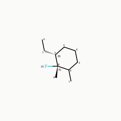 CC[C@@H]1CCCC(C)[C@]1(C)F